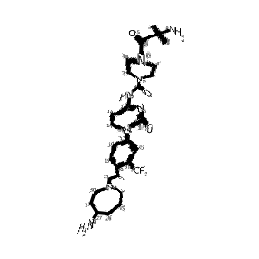 CC(C)(N)C(=O)N1CCN(C(=O)Nc2ccn(-c3ccc(CCN4CCCC(N)CC4)c(C(F)(F)F)c3)c(=O)n2)CC1